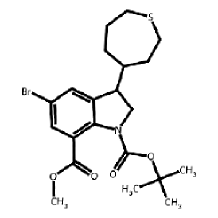 COC(=O)c1cc(Br)cc2c1N(C(=O)OC(C)(C)C)CC2C1CCCSCC1